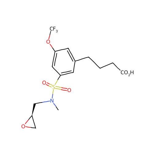 CN(C[C@H]1CO1)S(=O)(=O)c1cc(CCCC(=O)O)cc(OC(F)(F)F)c1